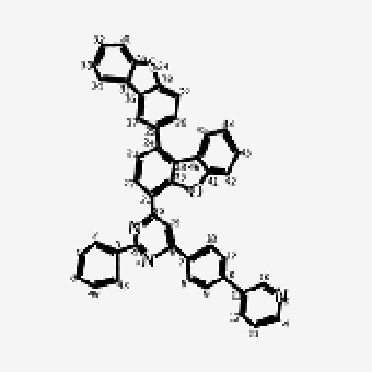 c1ccc(-c2nc(-c3ccc(-c4cccnc4)cc3)cc(-c3ccc(-c4ccc5sc6ccccc6c5c4)c4c3oc3ccccc34)n2)cc1